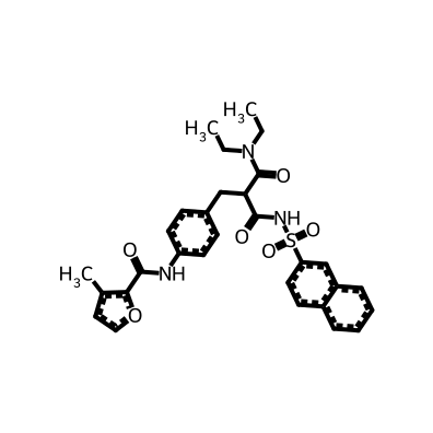 CCN(CC)C(=O)C(Cc1ccc(NC(=O)c2occc2C)cc1)C(=O)NS(=O)(=O)c1ccc2ccccc2c1